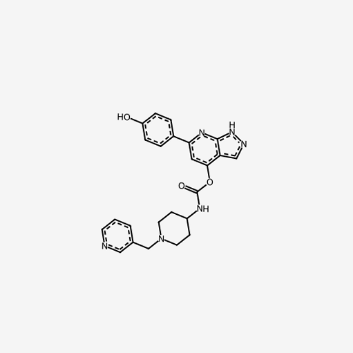 O=C(NC1CCN(Cc2cccnc2)CC1)Oc1cc(-c2ccc(O)cc2)nc2[nH]ncc12